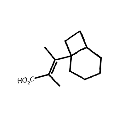 CC(C(=O)O)=C(C)C12CCCCC1CC2